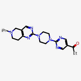 CCC(=O)c1cnc(N2CCN(c3ncc4c(n3)CCN(C(C)C)C4)CC2)nc1